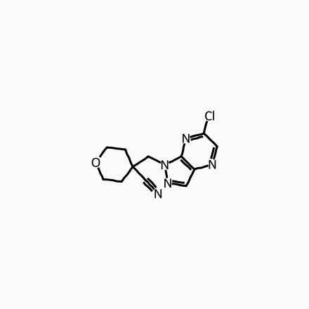 N#CC1(Cn2ncc3ncc(Cl)nc32)CCOCC1